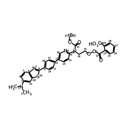 CN(C)c1ccc2nc(-c3ccc(-c4ccc(N(CCOOC(=O)c5ccccc5C(=O)O)C(=O)OC(C)(C)C)nc4)cc3)sc2c1